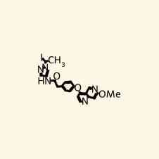 COc1cc2nccc(Oc3ccc(CC(=O)Nc4cnn(C(C)I)c4)cc3)c2cn1